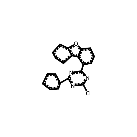 Clc1nc(-c2ccccc2)nc(-c2cccc3oc4ccccc4c23)n1